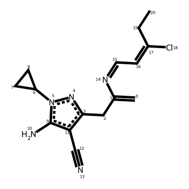 C=C(Cc1nn(C2CC2)c(N)c1C#N)/N=C\C=C(\Cl)CC